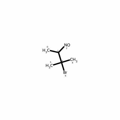 CC(N=O)C(C)(C)Br